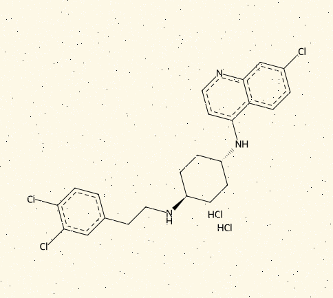 Cl.Cl.Clc1ccc2c(N[C@H]3CC[C@H](NCCc4ccc(Cl)c(Cl)c4)CC3)ccnc2c1